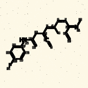 C=C=C(/C=C(C)/C=C\C(C=C)=N/C)CC(=C)Nc1ccc(F)cc1